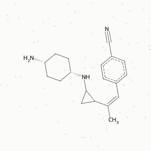 CC(=Cc1ccc(C#N)cc1)C1CC1N[C@H]1CC[C@@H](N)CC1